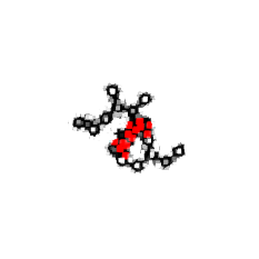 CC1(C)c2ccc(-c3cccc(-c4cccc(-c5nc(-c6cccc(-c7ccccc7)c6)nc(-c6ccc(-c7ccccc7)c(-n7c8ccccc8c8cc9c(cc87)C(C)(C)c7ccccc7-9)c6)n5)c4)c3)cc2-c2cc3c4ccccc4n(-c4cc(-c5ccccc5)cc(-c5nc(-c6ccccc6)nc(-c6ccc(-c7cccc8c7oc7ccccc78)cc6)n5)c4)c3cc21